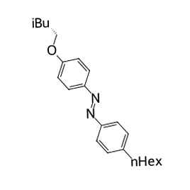 CCCCCCc1ccc(N=Nc2ccc(OC[C@@H](C)CC)cc2)cc1